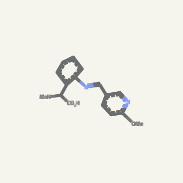 CNC(C(=O)O)c1ccccc1N=Cc1ccc(OC)nc1